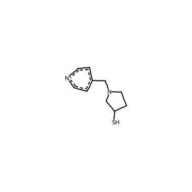 SC1CCN(Cc2ccncc2)C1